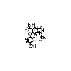 NC(=O)c1cc2cnn(C3CC3)c2cc1Oc1ccc(O)cc1